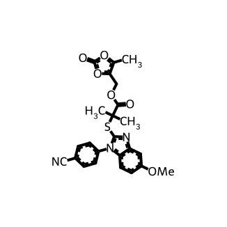 COc1ccc2c(c1)nc(SC(C)(C)C(=O)OCc1oc(=O)oc1C)n2-c1ccc(C#N)cc1